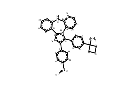 NC1(c2ccc(-c3c(-c4ccc(N=O)cc4)nc4n3-c3cccnc3Nc3ccccc3-4)cc2)CCC1